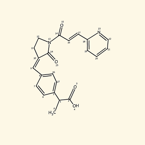 CC(C(=O)O)c1ccc(C=C2CCN(C(=O)/C=C/c3ccccn3)C2=O)cc1